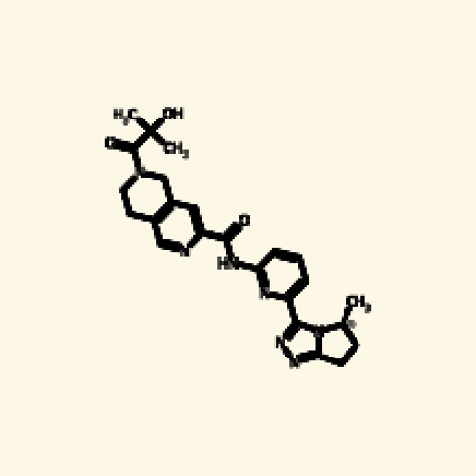 C[C@H]1CCc2nnc(-c3cccc(NC(=O)c4cc5c(cn4)CCN(C(=O)C(C)(C)O)C5)n3)n21